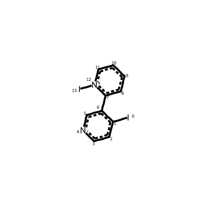 Ic1ccncc1-c1cccc[n+]1I